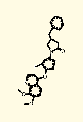 COc1ccc2c(Oc3ccc(N4CC(Cc5ccccc5)CC4=O)cc3F)ccnc2c1OC